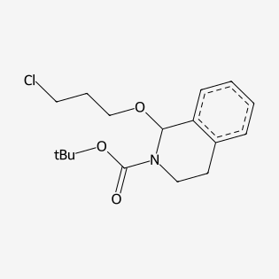 CC(C)(C)OC(=O)N1CCc2ccccc2C1OCCCCl